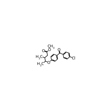 COC(=O)CC(C)C(C)Oc1ccc(C(=O)c2ccc(Cl)cc2)cc1